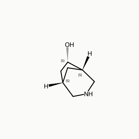 O[C@H]1C[C@H]2CNC[C@@H]1C2